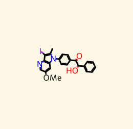 COc1cnc2c(I)c(C)n(-c3ccc(C(=O)C(O)c4ccccc4)cc3)c2c1